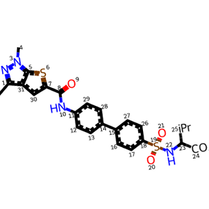 Cc1nn(C)c2sc(C(=O)Nc3ccc(-c4ccc(S(=O)(=O)NC(C(=O)O)C(C)C)cc4)cc3)cc12